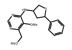 COCc1ncnc(NC2CSC(c3ccccc3)C2)c1OC